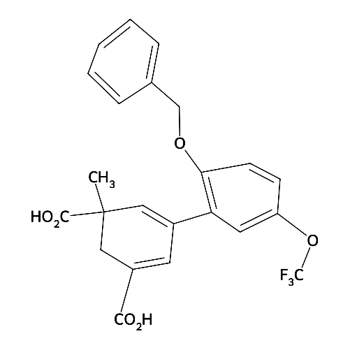 CC1(C(=O)O)C=C(c2cc(OC(F)(F)F)ccc2OCc2ccccc2)C=C(C(=O)O)C1